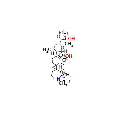 CCO[C@@H]([C@H]1C[C@@H](C)[C@H]2[C@H](O1)[C@H](O)[C@@]1(C)[C@@H]3CC[C@H]4C(C)(C)N(C)CCCC45C[C@@]35CC[C@]21C)C(C)(C)O